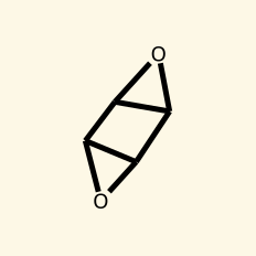 O1C2C1C1OC21